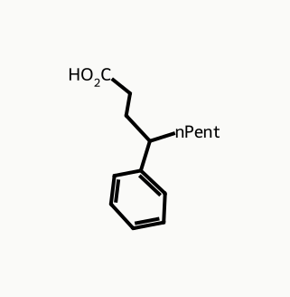 CCCCCC(CCC(=O)O)c1ccccc1